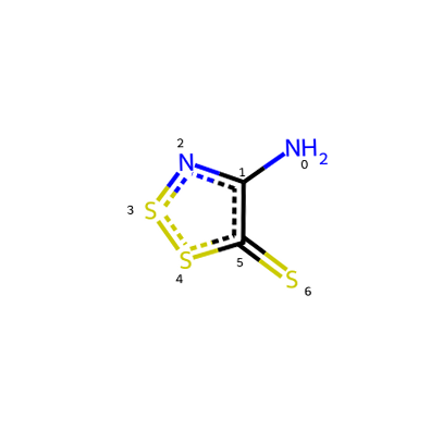 Nc1nssc1=S